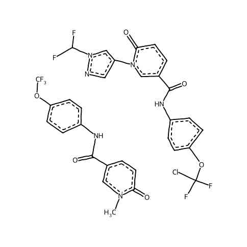 Cn1cc(C(=O)Nc2ccc(OC(F)(F)F)cc2)ccc1=O.O=C(Nc1ccc(OC(F)(F)Cl)cc1)c1ccc(=O)n(-c2cnn(C(F)F)c2)c1